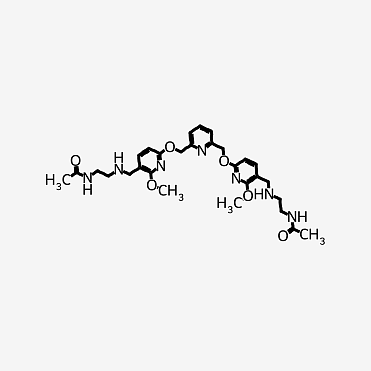 COc1nc(OCc2cccc(COc3ccc(CNCCNC(C)=O)c(OC)n3)n2)ccc1CNCCNC(C)=O